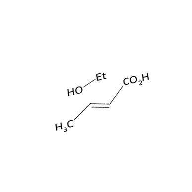 CC=CC(=O)O.CCO